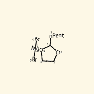 [Br][Mg][Br].[CH2]CCCCC1OCCO1